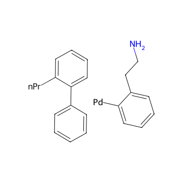 CCCc1ccccc1-c1ccccc1.NCCc1cccc[c]1[Pd]